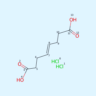 Cl.Cl.O=C(O)CCC=CCCC(=O)O